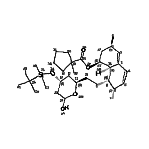 C[C@H]1C=C2C=C[C@H](C)[C@H](CC[C@@H]3C[C@@H](O[Si](C)(C)C(C)(C)C)CC(O)O3)[C@H]2[C@@H](OC(=O)C2(C)CCCC2)C1